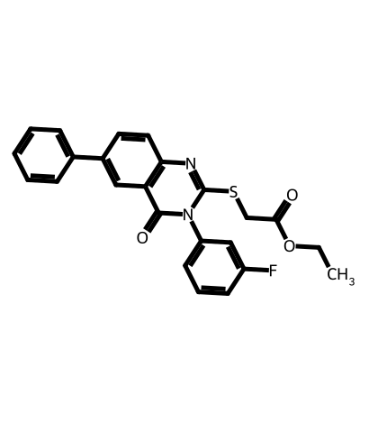 CCOC(=O)CSc1nc2ccc(-c3ccccc3)cc2c(=O)n1-c1cccc(F)c1